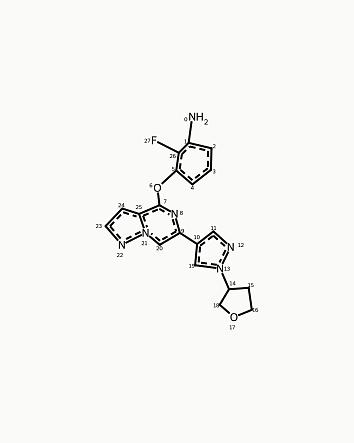 Nc1cccc(Oc2nc(-c3cnn(C4CCOC4)c3)cn3nccc23)c1F